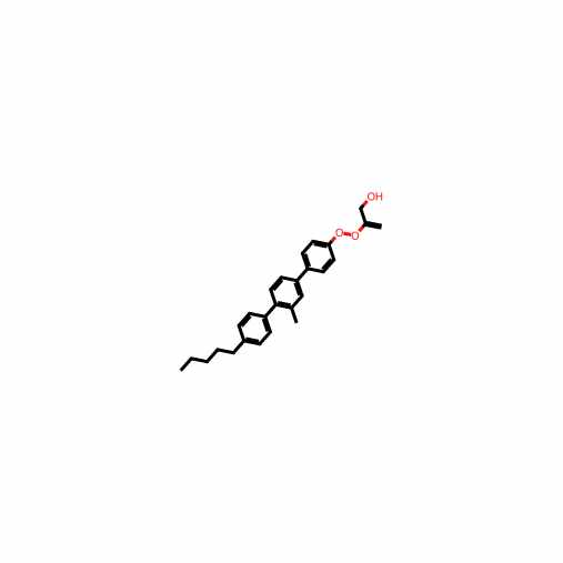 C=C(CO)OOc1ccc(-c2ccc(-c3ccc(CCCCC)cc3)c(C)c2)cc1